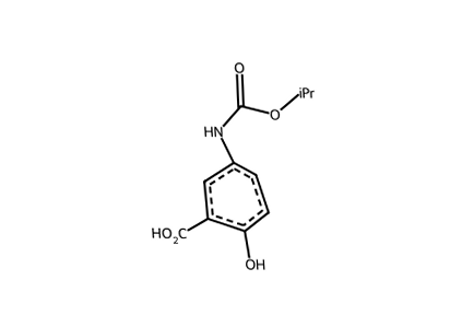 CC(C)OC(=O)Nc1ccc(O)c(C(=O)O)c1